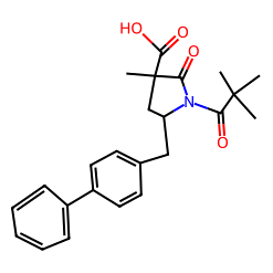 CC(C)(C)C(=O)N1C(=O)C(C)(C(=O)O)CC1Cc1ccc(-c2ccccc2)cc1